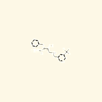 CC(F)(F)c1cncc(CNC[C@@H](O)[C@H](Cc2ccccc2)NC(=O)O)c1